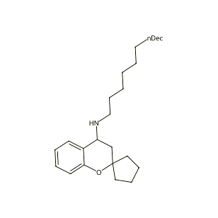 CCCCCCCCCCCCCCCCNC1CC2(CCCC2)Oc2ccccc21